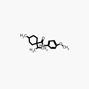 COc1ccc(NC(=O)C2(C(C)C)CCC(C)CC2)cc1